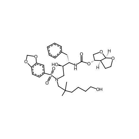 CC(C)(CCCCO)CN(C[C@@H](O)[C@H](Cc1ccccc1)NC(=O)O[C@@H]1CO[C@H]2OCC[C@H]21)S(=O)(=O)c1ccc2c(c1)OCO2